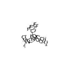 CC(C)(C)OC(=O)N1CCn2c(C3CC3)nc(Cl)c2C1CCc1ccc(C(F)(F)F)c(F)c1